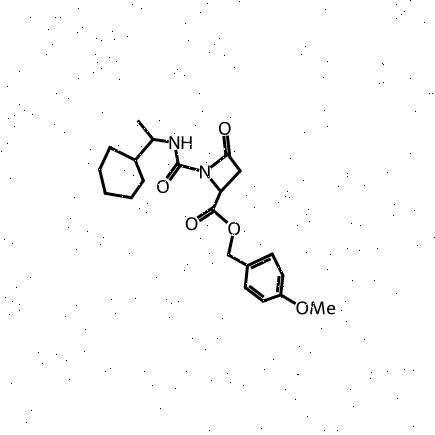 COc1ccc(COC(=O)C2CC(=O)N2C(=O)NC(C)C2CCCCC2)cc1